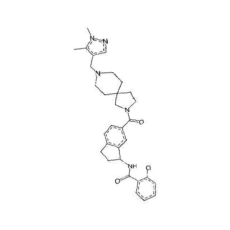 Cc1c(CN2CCC3(CC2)CCN(C(=O)c2ccc4c(c2)C(NC(=O)c2ccccc2Cl)CC4)C3)cnn1C